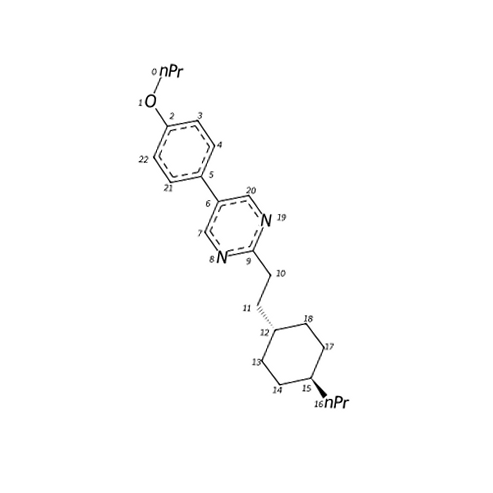 CCCOc1ccc(-c2cnc(CC[C@H]3CC[C@H](CCC)CC3)nc2)cc1